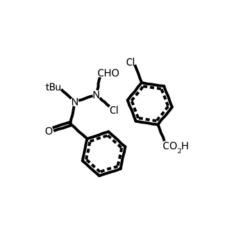 CC(C)(C)N(C(=O)c1ccccc1)N(Cl)C=O.O=C(O)c1ccc(Cl)cc1